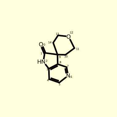 O=C1Nc2ccncc2C12CCOCC2